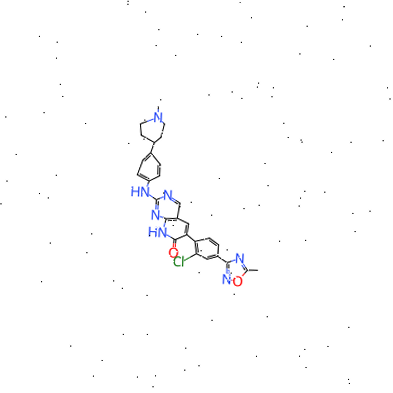 Cc1nc(-c2ccc(-c3cc4cnc(Nc5ccc(C6CCN(C)CC6)cc5)nc4[nH]c3=O)c(Cl)c2)no1